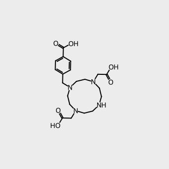 O=C(O)CN1CCNCCN(CC(=O)O)CCN(Cc2ccc(C(=O)O)cc2)CC1